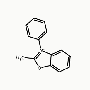 Cc1oc2ccccc2[n+]1-c1ccccc1